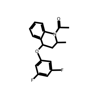 CC(=O)N1c2ccccc2C(Oc2cc(F)cc(F)c2)CC1C